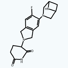 O=C1CCC(N2Cc3cc(F)c(N4CC5CC(C4)N5)cc3C2)C(=O)N1